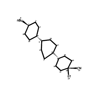 CCCC[C@H]1CC[C@H](C2CCC([C@H]3CC[C@@](C#N)(CC)CC3)CC2)CC1